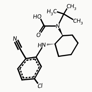 CC(C)(C)N(C(=O)O)[C@H]1CCCC[C@@H]1Nc1cc(Cl)ccc1C#N